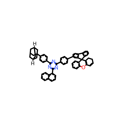 C1=CC2=C(CC1)C1(c3ccccc3O2)c2ccccc2-c2ccc(-c3ccc(-c4nc(-c5ccc(C67CC8C[C@H](C6)C[C@@H](C8)C7)cc5)nc(-c5cccc6ccccc56)n4)cc3)cc21